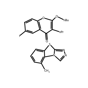 CCCCOc1oc2ccc(I)cc2c(=O)c1CCC.Cc1cccc2sc3nncn3c12